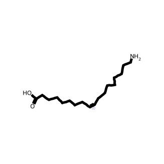 NCCCCCCCC/C=C\CCCCCCCC(=O)O